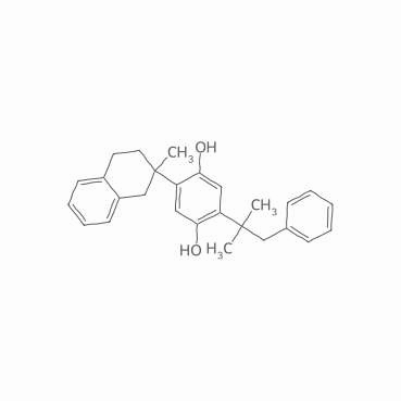 CC(C)(Cc1ccccc1)c1cc(O)c(C2(C)CCc3ccccc3C2)cc1O